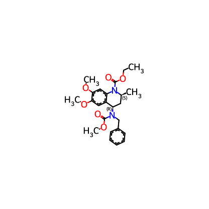 CCOC(=O)N1c2cc(OC)c(OC)cc2[C@H](N(Cc2ccccc2)C(=O)OC)C[C@@H]1C